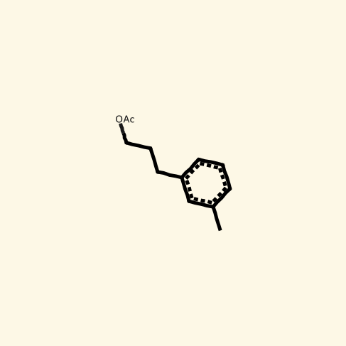 CC(=O)OCCCc1cccc(C)c1